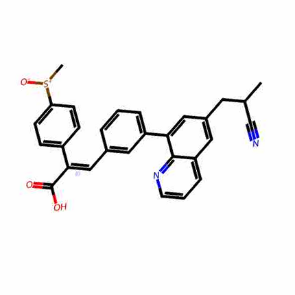 CC(C#N)Cc1cc(-c2cccc(/C=C(/C(=O)O)c3ccc([S+](C)[O-])cc3)c2)c2ncccc2c1